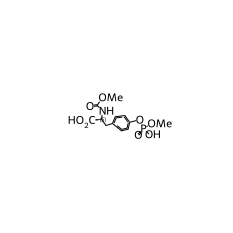 COC(=O)N[C@@H](Cc1ccc(OP(=O)(O)OC)cc1)C(=O)O